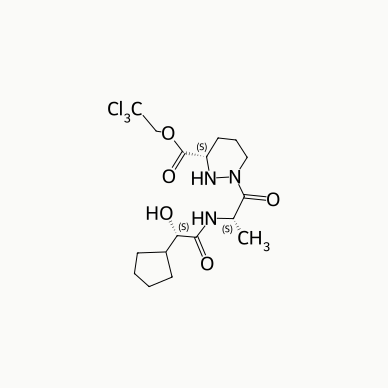 C[C@H](NC(=O)[C@@H](O)C1CCCC1)C(=O)N1CCC[C@@H](C(=O)OCC(Cl)(Cl)Cl)N1